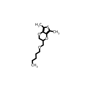 CCCCCOCC1COc2c(C)sc(C)c2O1